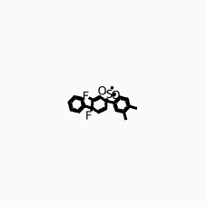 Cc1ccc(C2(S(C)(=O)=O)C=CC(F)(c3ccccc3)C(F)=C2)cc1C